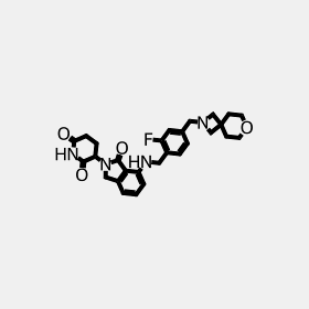 O=C1CCC(N2Cc3cccc(NCc4ccc(CN5CC6(CCOCC6)C5)cc4F)c3C2=O)C(=O)N1